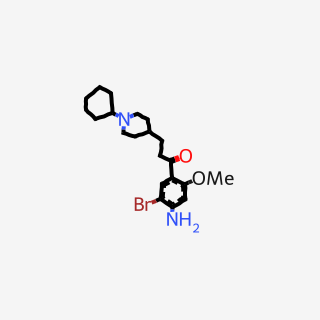 COc1cc(N)c(Br)cc1C(=O)CCC1CCN(C2CCCCC2)CC1